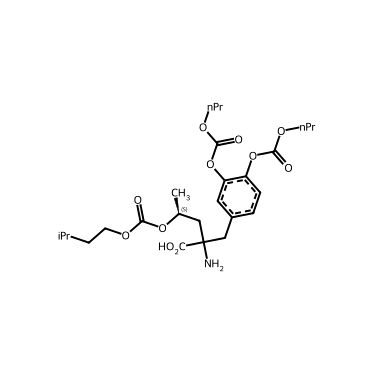 CCCOC(=O)Oc1ccc(CC(N)(C[C@H](C)OC(=O)OCCC(C)C)C(=O)O)cc1OC(=O)OCCC